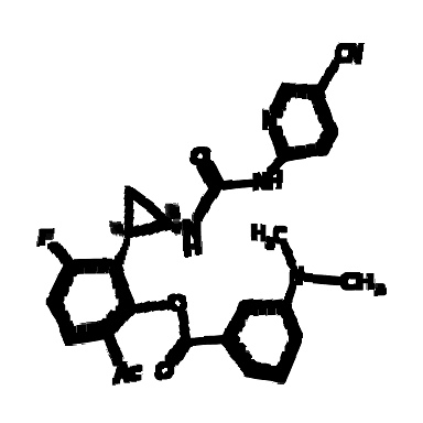 CC(=O)c1ccc(F)c([C@@H]2C[C@@H]2NC(=O)Nc2ccc(C#N)cn2)c1OC(=O)c1cccc(N(C)C)c1